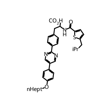 CCCCCCCOc1ccc(-c2cnc(-c3ccc(CC(NC(=O)c4ccc(CC(C)C)s4)C(=O)O)cc3)nc2)cc1